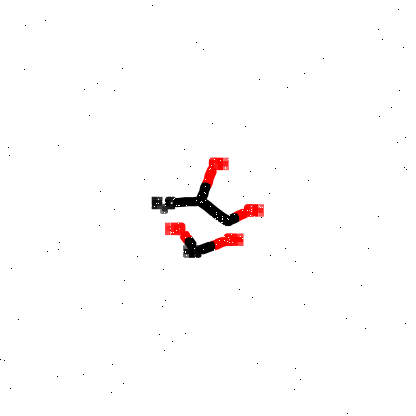 CC(O)CO.OBO